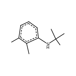 Cc1cccc([SiH]C(C)(C)C)c1C